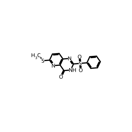 CSc1ccc2nc(S(=O)(=O)c3ccccc3)[nH]c(=O)c2n1